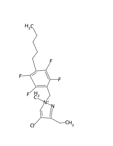 CCCCCc1c(F)c(F)c(C[N+]2(C)C=C(Cl)C(CC)=N2)c(F)c1F